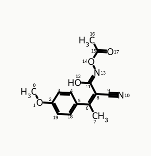 COc1ccc(C(C)=C(C#N)C(O)=NOC(C)=O)cc1